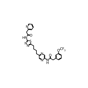 O=C(Cc1cccc(OC(F)(F)F)c1)Nc1cnc(CCCCc2nnc(NC(=O)Cc3ccccn3)s2)cn1